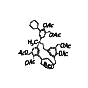 CC(=O)OCc1cc(CCC(C)(c2cc(COC(C)=O)c(OC(C)=O)c(C3CCCCC3)c2)c2cc(COC(C)=O)c(OC(C)=O)c(C3CCCCC3)c2)cc(COC(C)=O)c1OC(C)=O